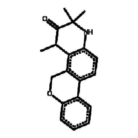 CC1C(=O)C(C)(C)Nc2ccc3c(c21)COc1ccccc1-3